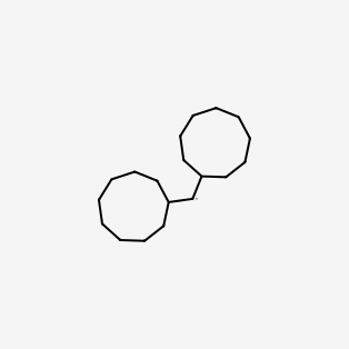 [CH](C1CCCCCCCC1)C1CCCCCCCC1